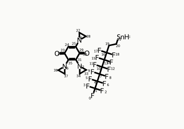 FC(F)(F)C(F)(F)C(F)(F)C(F)(F)C(F)(F)C(F)(F)C[CH2][SnH].O=C1C=C(N2CC2)C(=O)C(N2CC2)=C1N1CC1